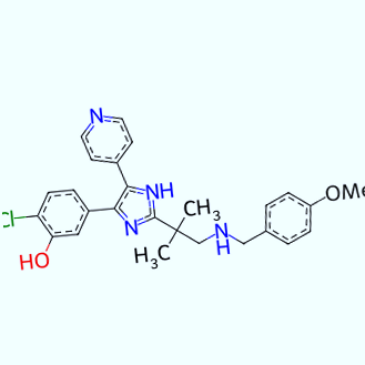 COc1ccc(CNCC(C)(C)c2nc(-c3ccc(Cl)c(O)c3)c(-c3ccncc3)[nH]2)cc1